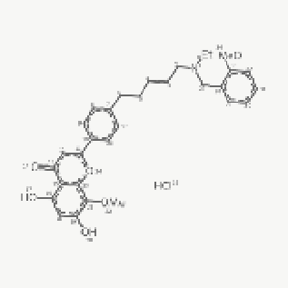 CCN(CCCCCc1ccc(-c2cc(=O)c3c(O)cc(O)c(OC)c3o2)cc1)Cc1ccccc1OC.Cl